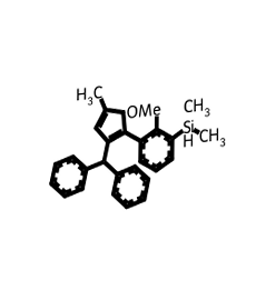 COc1c(C2=C(C(c3ccccc3)c3ccccc3)C=C(C)C2)cccc1[SiH](C)C